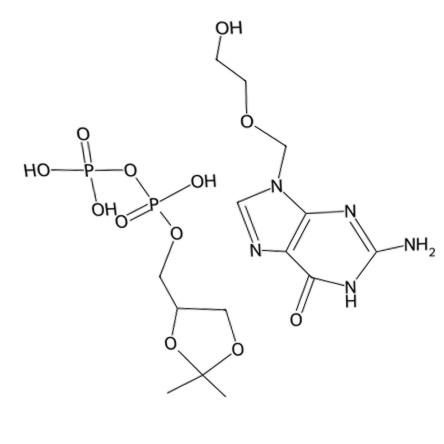 CC1(C)OCC(COP(=O)(O)OP(=O)(O)O)O1.Nc1nc2c(ncn2COCCO)c(=O)[nH]1